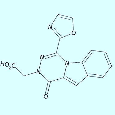 O=C(O)Cn1nc(-c2ncco2)n2c(cc3ccccc32)c1=O